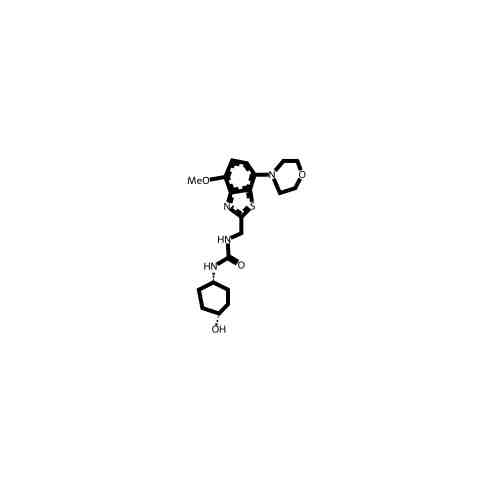 COc1ccc(N2CCOCC2)c2sc(CNC(=O)N[C@H]3CC[C@@H](O)CC3)nc12